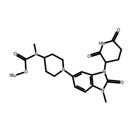 CN(C(=O)OC(C)(C)C)C1CCN(c2ccc3c(c2)n(C2CCC(=O)NC2=O)c(=O)n3C)CC1